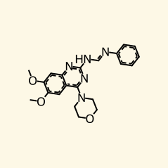 COc1cc2nc(N/C=N/c3ccccc3)nc(N3CCOCC3)c2cc1OC